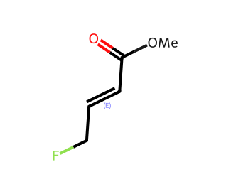 COC(=O)/C=C/CF